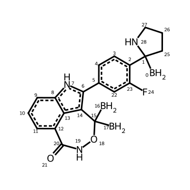 BC1(c2ccc(-c3[nH]c4cccc5c4c3C(B)(B)ONC5=O)cc2F)CCCN1